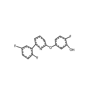 Oc1cc(Oc2cccc(-c3cc(F)ccc3F)n2)ccc1F